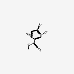 COC(=O)c1ccc([S-])[n+]([O-])c1.[Na+]